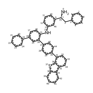 N[C@@H](Cc1ccccc1)c1cccc(Nc2ccc(-c3ccccc3)cc2-c2ccc(-c3cccc4c3sc3ccccc34)cc2)c1